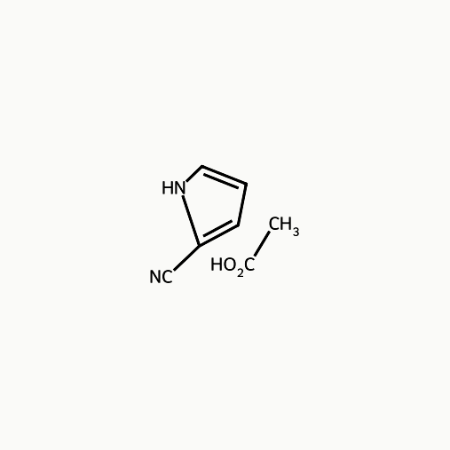 CC(=O)O.N#Cc1ccc[nH]1